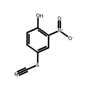 N#CSc1ccc(O)c([N+](=O)[O-])c1